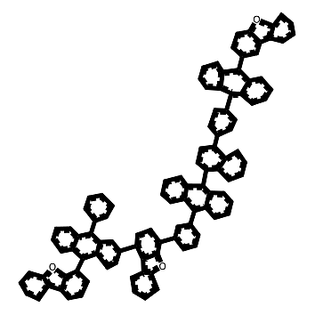 c1ccc(-c2c3ccccc3c(-c3cccc4c3oc3ccccc34)c3ccc(-c4ccc(-c5cccc(-c6c7ccccc7c(-c7ccc(-c8ccc(-c9c%10ccccc%10c(-c%10ccc%11oc%12ccccc%12c%11c%10)c%10ccccc9%10)cc8)c8ccccc78)c7ccccc67)c5)c5oc6ccccc6c45)cc23)cc1